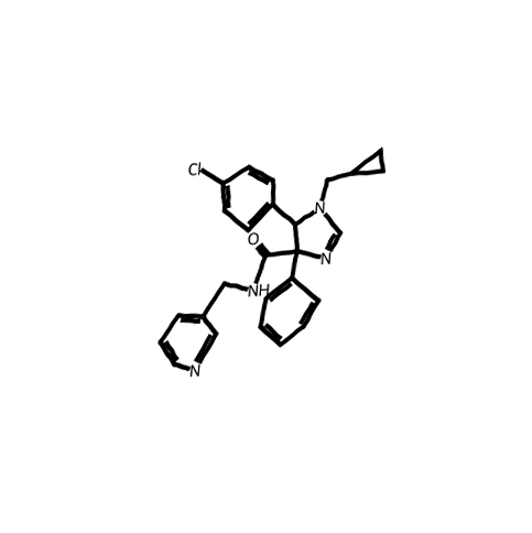 O=C(NCc1cccnc1)C1(c2ccccc2)N=CN(CC2CC2)C1c1ccc(Cl)cc1